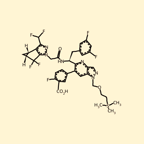 CS(C)(C)CCOCn1ncc2nc([C@H](Cc3cc(F)cc(F)c3)NC(=O)Cn3nc(C(F)F)c4c3C(F)(F)[C@@H]3C[C@H]43)c(-c3ccc(F)c(C(=O)O)c3)cc21